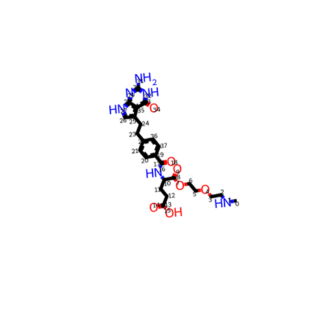 CNCCOCCOC(=O)C(CCC(=O)O)NC(=O)c1ccc(CCc2c[nH]c3nc(N)[nH]c(=O)c23)cc1